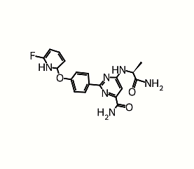 C[C@H](Nc1cc(C(N)=O)nc(-c2ccc(OC3C=CC=C(F)N3)cc2)n1)C(N)=O